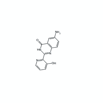 Nc1ccc2nc(-c3ncccc3O)[nH]c(=O)c2c1